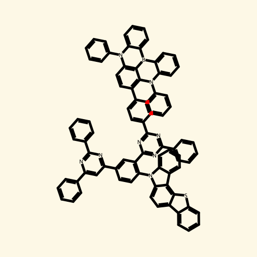 c1ccc(-c2cc(-c3ccc(-n4c5ccccc5c5c6sc7ccccc7c6ccc54)c(-c4nc(-c5ccccc5)nc(-c5ccc(-c6ccc7c8c6N(c6ccccc6)c6ccccc6B8c6ccccc6N7c6ccccc6)cc5)n4)c3)nc(-c3ccccc3)n2)cc1